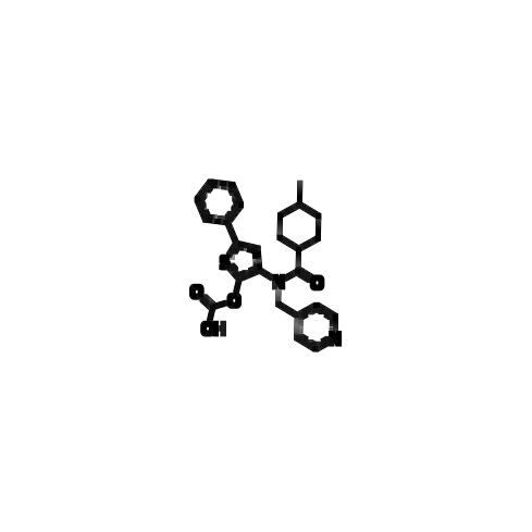 CC1CCC(C(=O)N(Cc2ccncc2)c2cc(-c3ccccc3)sc2OC(=O)O)CC1